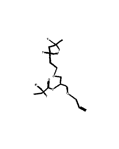 C=CCOCC(COCCC(F)(F)CC(C)(F)F)OC(=O)C(C)(F)F